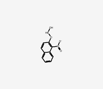 O=[N+]([O-])c1c(OBO)ccc2ccccc12